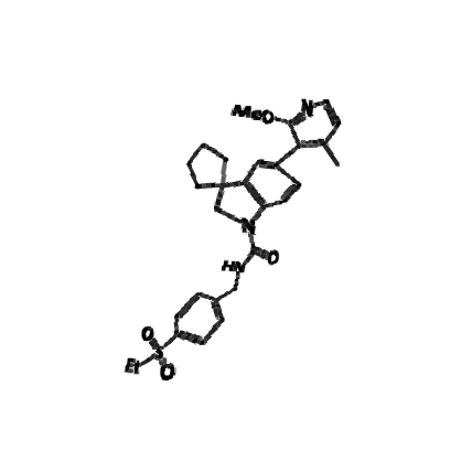 CCS(=O)(=O)c1ccc(CNC(=O)N2CC3(CCCC3)c3cc(-c4c(C)ccnc4OC)ccc32)cc1